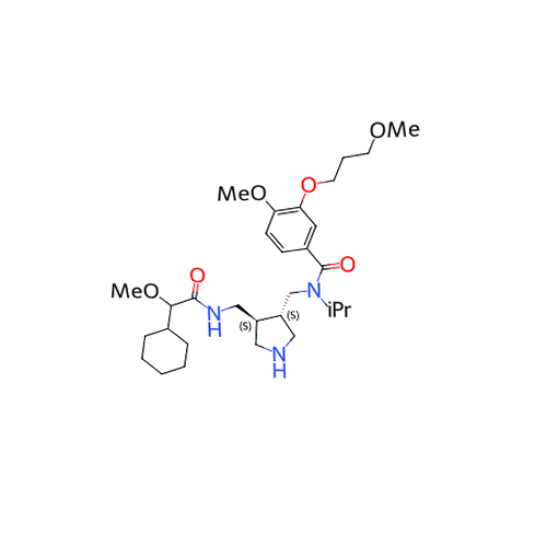 COCCCOc1cc(C(=O)N(C[C@@H]2CNC[C@H]2CNC(=O)C(OC)C2CCCCC2)C(C)C)ccc1OC